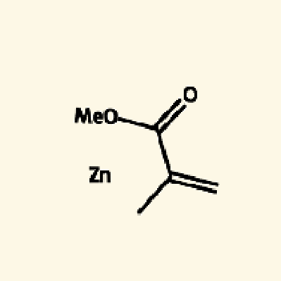 C=C(C)C(=O)OC.[Zn]